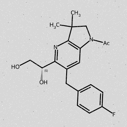 CC(=O)N1CC(C)(C)c2nc([C@H](O)CO)c(Cc3ccc(F)cc3)cc21